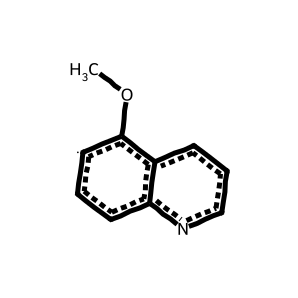 COc1[c]ccc2ncccc12